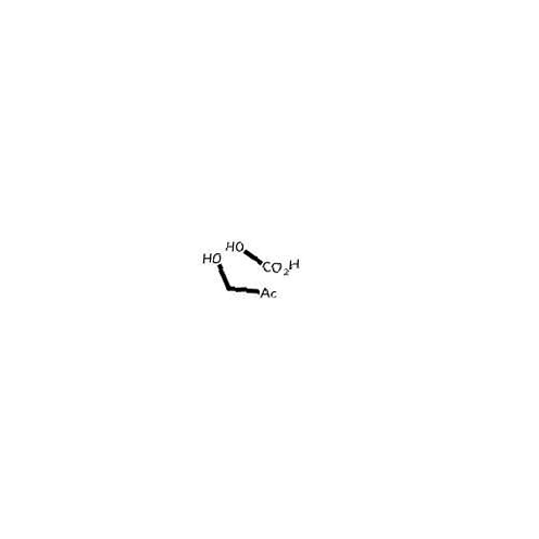 CC(=O)CO.O=C(O)O